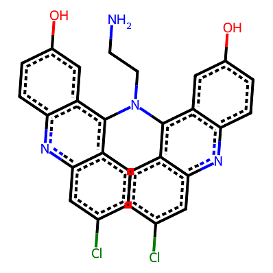 NCCN(c1c2ccc(Cl)cc2nc2ccc(O)cc12)c1c2ccc(Cl)cc2nc2ccc(O)cc12